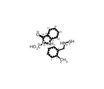 Cc1ccccc1CNS.O=C(O)n1[nH]c2ccccc2c1=O